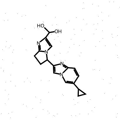 OC(O)c1cn2c(n1)CCC2c1cn2cc(C3CC3)ccc2n1